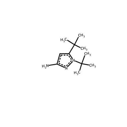 CC(C)(C)c1cc(N)nn1C(C)(C)C